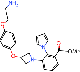 COC(=O)c1cccc(N2CC(Oc3ccc(OCCN)cc3)C2)c1-n1cccc1